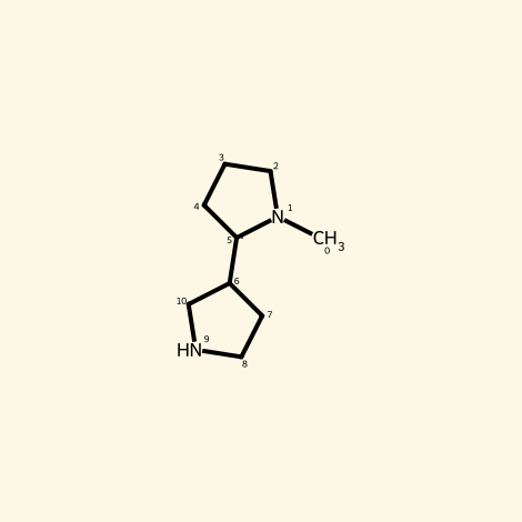 CN1CCC[C]1C1CCNC1